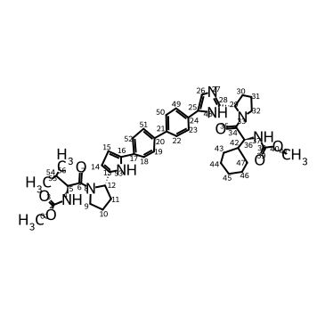 COC(=O)N[C@H](C(=O)N1CCC[C@H]1c1ccc(-c2ccc(-c3ccc(-c4cnc([C@@H]5CCCN5C(=O)[C@@H](NC(=O)OC)C5CCCCC5)[nH]4)cc3)cc2)[nH]1)C(C)C